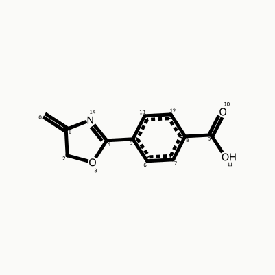 C=C1COC(c2ccc(C(=O)O)cc2)=N1